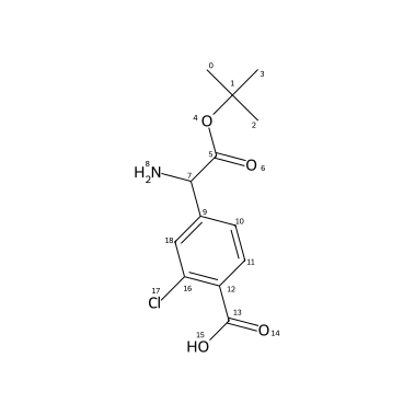 CC(C)(C)OC(=O)C(N)c1ccc(C(=O)O)c(Cl)c1